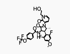 COc1cc(F)c([C@H]2C(NC(=O)c3ccc(OC(F)(F)F)cc3)C(=O)N(c3cccn(CCO)c3=O)[C@@H]2C)c(F)c1